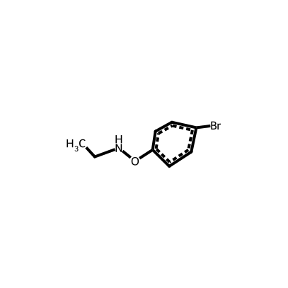 CCNOc1ccc(Br)cc1